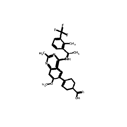 COc1cc2nc(C)nc(N[C@H](C)c3cccc(C(F)(F)F)c3C)c2cc1C1=CCC(C(=O)O)CC1